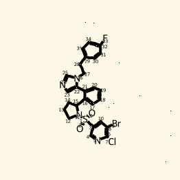 O=S(=O)(c1cnc(Cl)c(Br)c1)N1CCCC1c1ccccc1-c1cncn1CCc1ccc(F)cc1